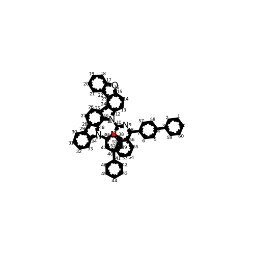 c1ccc(-c2ccc(-c3nc(-n4c5ccc6oc7ccccc7c6c5c5ccc6c7ccccc7n(-c7cccc(-c8ccccc8)c7)c6c54)nc4ccccc34)cc2)cc1